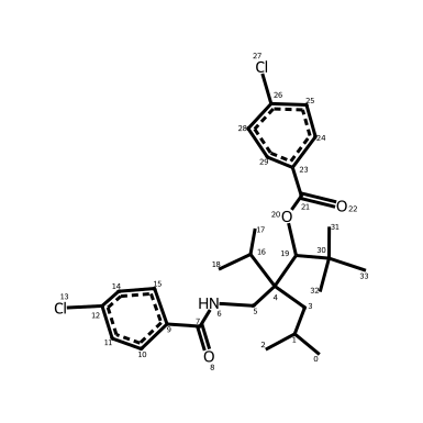 CC(C)CC(CNC(=O)c1ccc(Cl)cc1)(C(C)C)C(OC(=O)c1ccc(Cl)cc1)C(C)(C)C